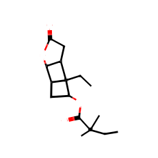 CCC(C)(C)C(=O)OC1CC2C3OC(=O)CC3C12CC